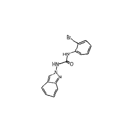 O=C(Nc1ccccc1Br)Nn1cc2ccccc2n1